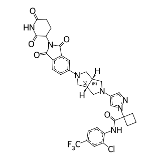 O=C1CCC(N2C(=O)c3ccc(N4C[C@@H]5CN(c6cnn(C7(C(=O)Nc8ccc(C(F)(F)F)cc8Cl)CCC7)c6)C[C@@H]5C4)cc3C2=O)C(=O)N1